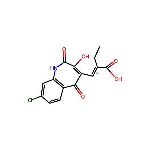 CC/C(=C\c1c(O)c(=O)[nH]c2cc(Cl)ccc2c1=O)C(=O)O